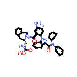 Nc1ccc(-n2nc(C(=O)N(c3ccccc3)c3ccccc3)c3ccccc32)c(C(=O)N2Cc3ccccc3C[C@H]2CNC(=O)O)c1